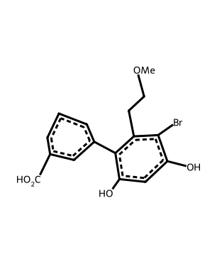 COCCc1c(Br)c(O)cc(O)c1-c1cccc(C(=O)O)c1